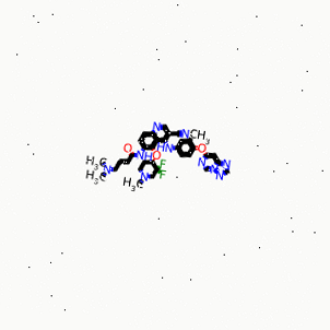 Cc1cc(Nc2c(C#N)cnc3ccc(NC(=O)/C=C/CN(C)C)c(O[C@@H]4CCN(C)CC4(F)F)c23)ccc1Oc1cc2ncnn2cn1